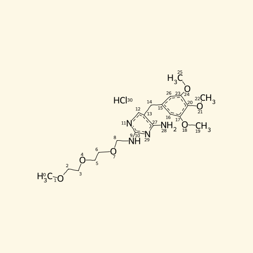 COCCOCCOCNc1ncc(Cc2cc(OC)c(OC)c(OC)c2)c(N)n1.Cl